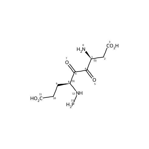 N[C@@H](CC(=O)O)C(=O)C(=O)[C@H](CCC(=O)O)NP